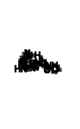 Cc1cc(NC(=O)C2CCCCC2)ccc1Nc1nnc(-c2c[nH]c3c2=CC(C)(c2cnn(C)c2)CN=3)o1